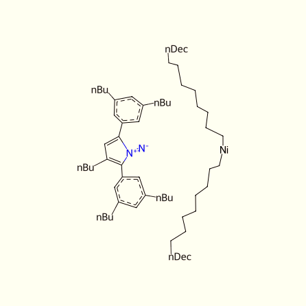 CCCCC1=C(c2cc(CCCC)cc(CCCC)c2)[N+](=[N-])C(c2cc(CCCC)cc(CCCC)c2)=C1.CCCCCCCCCCCCCCCCC[CH2][Ni][CH2]CCCCCCCCCCCCCCCCC